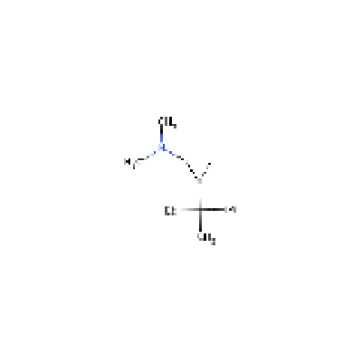 CCC(C)(C(C)C)C1CC1N(C)C